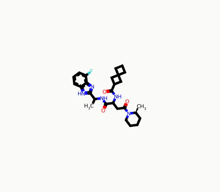 CC(NC(=O)C(CC(=O)N1CCCC[C@@H]1C)NC(=O)C1CC2(CCC2)C1)c1nc2c(F)cccc2[nH]1